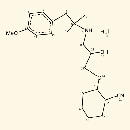 COc1ccc(CC(C)(C)NCC(O)COC2CCCCC2C#N)cc1.Cl